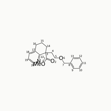 COC(=O)C1(CCOCc2ccccc2)CCCc2cccnc21